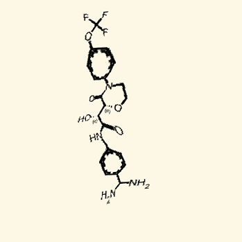 NC(N)c1ccc(NC(=O)[C@H](O)[C@H]2OCCN(c3ccc(OC(F)(F)F)cc3)C2=O)cc1